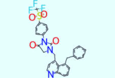 O=C1CN(Cc2ccnc3cccc(Cc4ccccc4)c23)C(=O)N1c1ccc(S(=O)(=O)C(F)(F)F)cc1